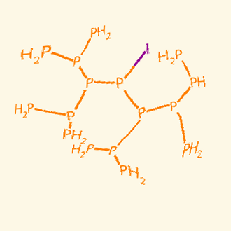 PPP(P)P(P(P)P)P(I)P(P(P)P)P(P)P